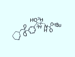 [2H]C([2H])(CNC(=O)OC(C)(C)C)C(O)c1cccc(S(=O)(=O)CC2CCCCC2)c1